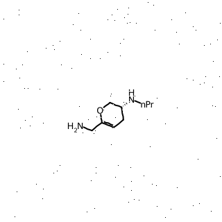 CCCN[C@@H]1CC=C(CN)OC1